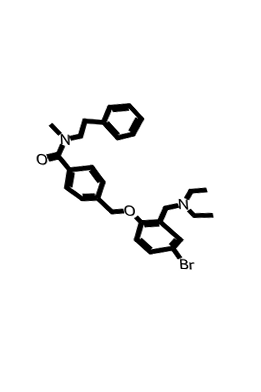 CCN(CC)Cc1cc(Br)ccc1OCc1ccc(C(=O)N(C)CCc2ccccc2)cc1